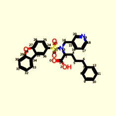 O=C(O)C(CCCc1ccccc1)N(Cc1cccnc1)S(=O)(=O)c1ccc2oc3ccccc3c2c1